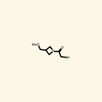 COCC1CN(C(=O)CC(C)C)C1